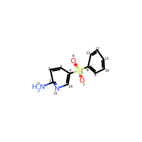 Nc1ccc(S(=O)(=O)c2ccccc2)cn1